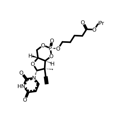 C#C[C@]1(C)[C@@H]2O[P@@](=O)(OCCCCC(=O)OC(C)C)OC[C@H]2O[C@H]1n1ccc(=O)[nH]c1=O